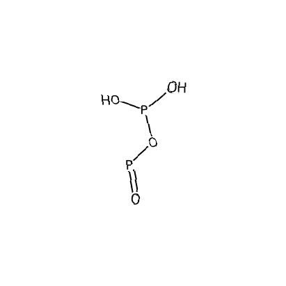 O=POP(O)O